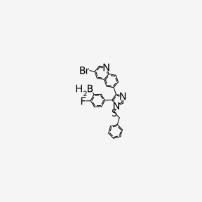 Bc1cc(-c2c(-c3ccc4ncc(Br)cc4c3)ncn2SCc2ccccc2)ccc1F